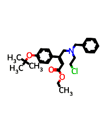 CCOC(=O)C=C(CN(CCCl)Cc1ccccc1)c1ccc(OC(C)(C)C)cc1